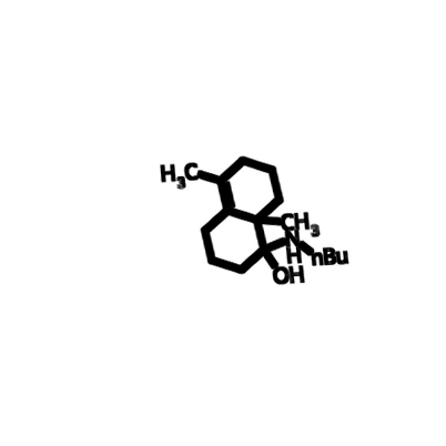 CCCCNC1(O)CCCC2=C(C)CCCC21C